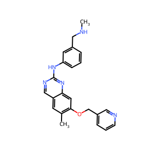 CNCc1cccc(Nc2ncc3cc(C)c(OCc4cccnc4)cc3n2)c1